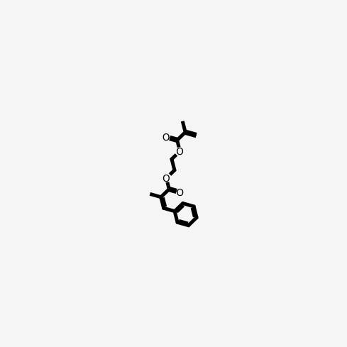 C=C(C)C(=O)OCCOC(=O)C(C)=Cc1ccccc1